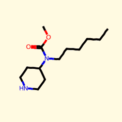 CCCCCCN(C(=O)OC)C1CCNCC1